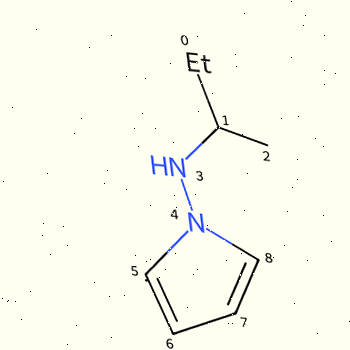 CCC(C)Nn1[c]ccc1